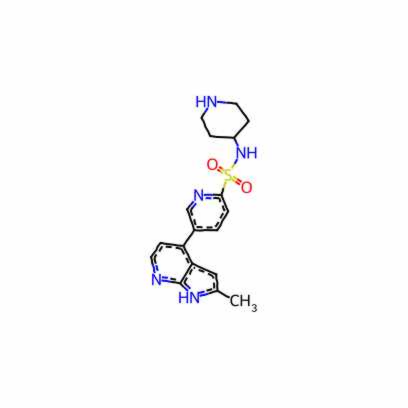 Cc1cc2c(-c3ccc(S(=O)(=O)NC4CCNCC4)nc3)ccnc2[nH]1